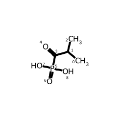 CC(C)C(=O)P(=O)(O)O